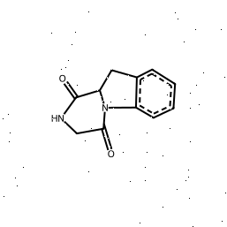 O=C1NCC(=O)N2c3ccccc3CC12